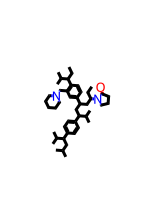 CCC(c1ccc(C(CC(c2ccc(C(CC(C)C)C(C)C)cc2)C(C)C)CC(CC)N2CCCC2=O)cc1CN1CCCCC1)C(C)C